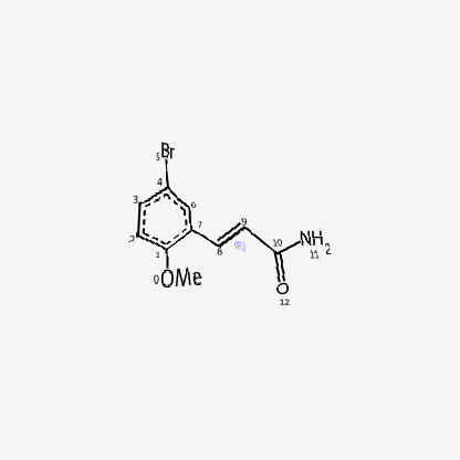 COc1ccc(Br)cc1/C=C/C(N)=O